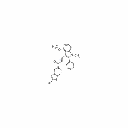 COc1ncnc2c1c(/C=C/C(=O)N1CCc3sc(Br)cc3C1)c(-c1ccccc1)n2C